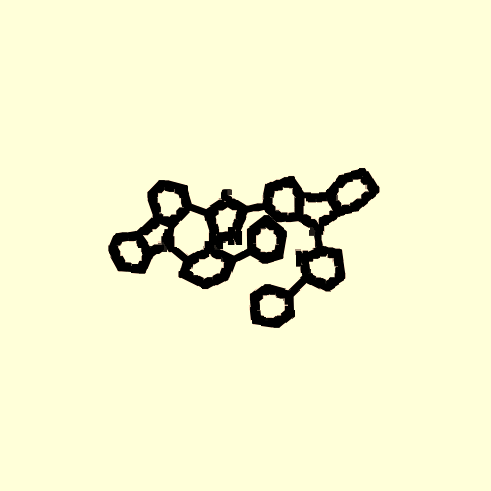 c1ccc(-c2cccc(-n3c4ccccc4c4ccc(-c5nnc(-c6cccc7c8ccccc8n(-c8cccc(-c9ccccc9)n8)c67)s5)cc43)n2)cc1